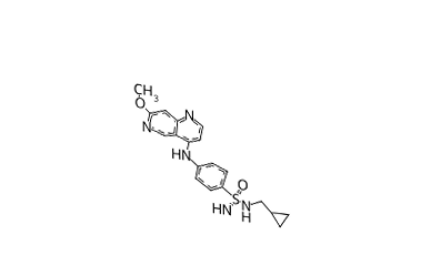 COc1cc2nccc(Nc3ccc(S(=N)(=O)NCC4CC4)cc3)c2cn1